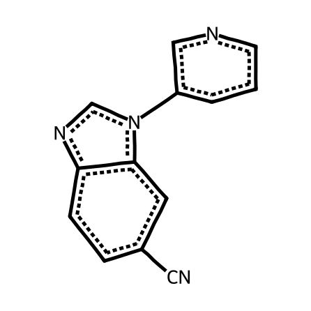 N#Cc1ccc2ncn(-c3cccnc3)c2c1